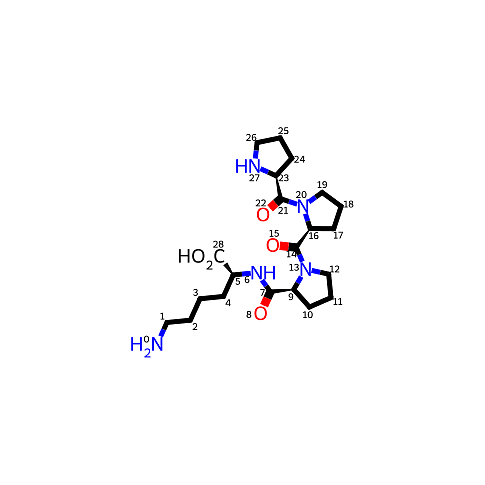 NCCCC[C@H](NC(=O)[C@@H]1CCCN1C(=O)[C@@H]1CCCN1C(=O)[C@@H]1CCCN1)C(=O)O